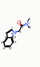 CN(C)C(=O)Cn1ccc2ccccc21